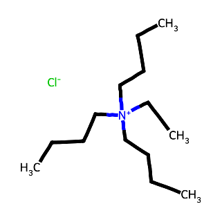 CCCC[N+](CC)(CCCC)CCCC.[Cl-]